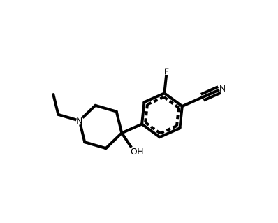 CCN1CCC(O)(c2ccc(C#N)c(F)c2)CC1